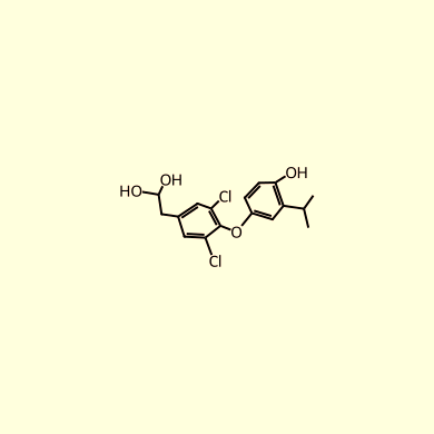 CC(C)c1cc(Oc2c(Cl)cc(CC(O)O)cc2Cl)ccc1O